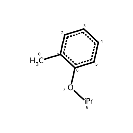 Cc1ccccc1OC(C)C